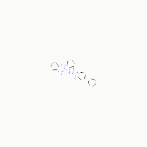 c1ccc2c(c1)nc1n2c2cccc3c2n1c1nc2cc4c(cc2n31)oc1ccccc14